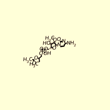 CCC(COP(=O)(O)OC[C@H]1O[C@@H](n2ccc(N)nc2=O)[C@H](OC)[C@@H]1O)OC(C)=O